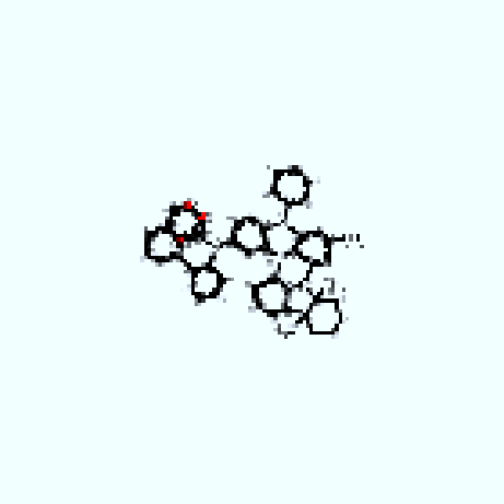 Cc1cc2c3c(c1)N1c4c(cccc4C4(C)CCCCC14C)B3c1cc(N(c3ccccc3)c3ccccc3-c3cccc4ccccc34)ccc1N2c1ccccc1